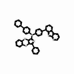 c1ccc(-c2ccc(N(c3ccc(-c4cccc5c4sc4ncccc45)cc3)c3sc(-c4ccccc4)c4c3Oc3ccccc3O4)cc2)cc1